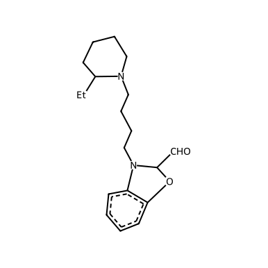 CCC1CCCCN1CCCCN1c2ccccc2OC1C=O